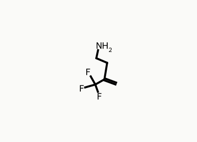 C=C(CCN)C(F)(F)F